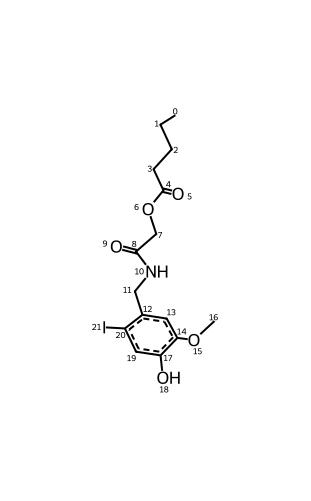 CCCCC(=O)OCC(=O)NCc1cc(OC)c(O)cc1I